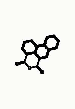 O=C1OC(=O)c2cc3ccccc3c3cccc1c23